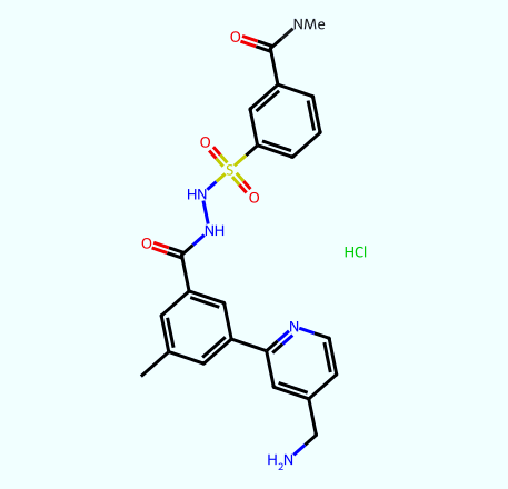 CNC(=O)c1cccc(S(=O)(=O)NNC(=O)c2cc(C)cc(-c3cc(CN)ccn3)c2)c1.Cl